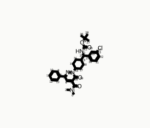 CN(C)C(=O)c1cc(-c2ccccc2)nn(C2CCC(C(NC(=O)OC(C)(C)C)c3cccc(Cl)c3)CC2)c1=O